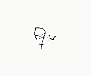 C=CS(=O)(=O)C1(C(F)(F)F)CC2CCC1C2